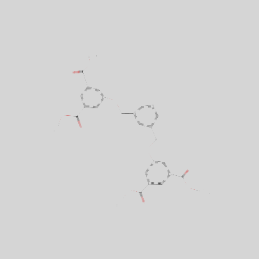 COC(=O)c1cc(OCc2cc(O)cc(COc3cc(C(=O)OC)cc(C(=O)OC)c3)c2)cc(C(=O)OC)c1